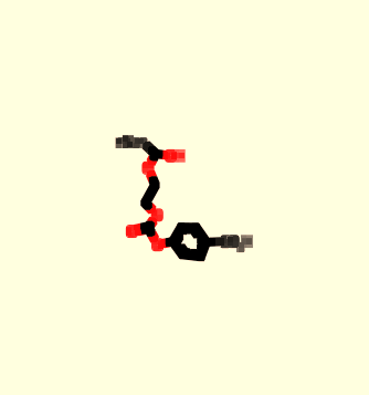 CCCCCCCCCC(O)OCCOC(=O)Oc1ccc(S(=O)(=O)O)cc1